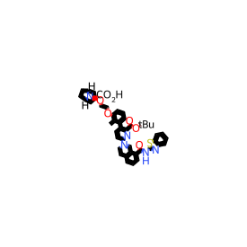 Cc1c(OCCO[C@@H]2C[C@H]3CC[C@@H](C2)N3CC(=O)O)cccc1-c1ccc(N2CCc3cccc(C(=O)Nc4nc5ccccc5s4)c3C2)nc1C(=O)OC(C)(C)C